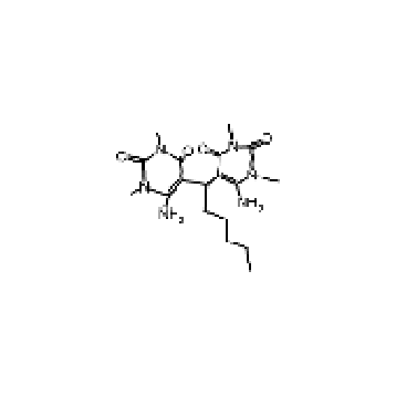 CCCCCC(c1c(N)n(C)c(=O)n(C)c1=O)c1c(N)n(C)c(=O)n(C)c1=O